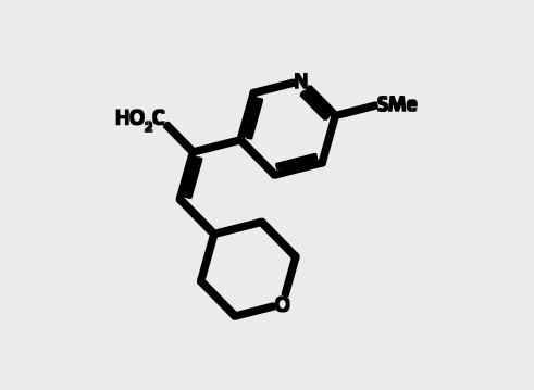 CSc1ccc(/C(=C\C2CCOCC2)C(=O)O)cn1